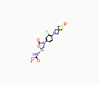 COC(=O)NC[C@H]1CN(c2ccc(N3CC4(C3)C[S+]([O-])C4)c(F)c2)C(=O)O1